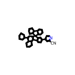 N#Cc1cc(-c2ccc3c(c2)C2(c4ccccc4-c4ccccc42)c2cc(-c4ccccc4)c4ccccc4c2-3)ccn1